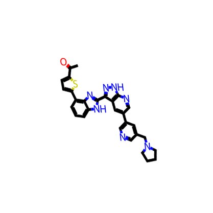 CC(=O)c1ccc(-c2cccc3[nH]c(-c4n[nH]c5ncc(-c6cncc(CN7CCCC7)c6)cc45)nc23)s1